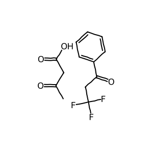 CC(=O)CC(=O)O.O=C(CC(F)(F)F)c1ccccc1